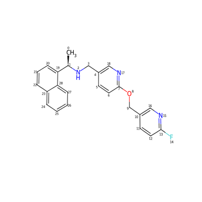 C[C@@H](NCc1ccc(OCc2ccc(F)nc2)nc1)c1cccc2ccccc12